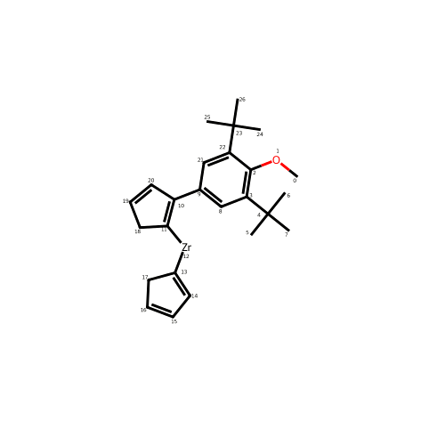 COc1c(C(C)(C)C)cc(C2=[C]([Zr][C]3=CC=CC3)CC=C2)cc1C(C)(C)C